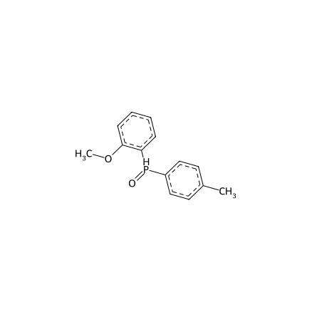 COc1ccccc1[PH](=O)c1ccc(C)cc1